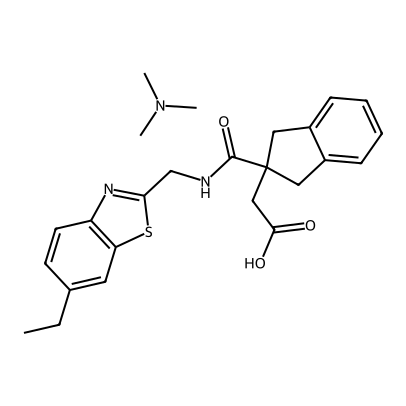 CCc1ccc2nc(CNC(=O)C3(CC(=O)O)Cc4ccccc4C3)sc2c1.CN(C)C